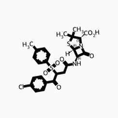 Cc1ccc(S(=O)(=O)C(CC(=O)N[C@@H]2C(=O)N3[C@@H]2SC(C)(C)[C@@H]3C(=O)O)C(=O)c2ccc(Cl)cc2)cc1